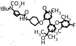 Cc1cc(F)cc(C)c1Oc1ccc(C(C)(C)O)cc1-c1cn(C)c(=O)cc1OC1CCC(NC(=O)C23CCC(N(C(=O)O)C(C)(C)C)(C2)C3)CC1